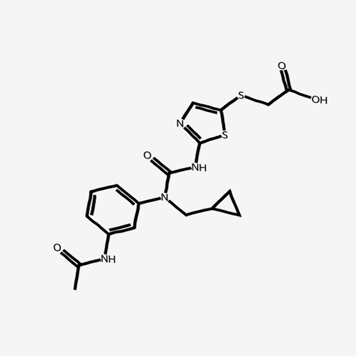 CC(=O)Nc1cccc(N(CC2CC2)C(=O)Nc2ncc(SCC(=O)O)s2)c1